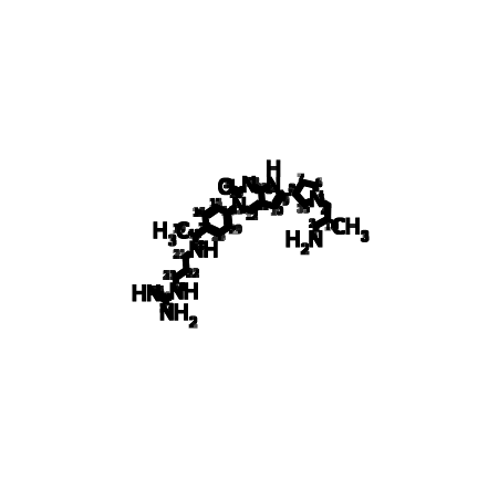 C[C@H](CN)CN1CC[C@@H](c2cc3cn(-c4ccc([C@H](C)NCCCNC(=N)N)cc4)c(=O)nc3[nH]2)C1